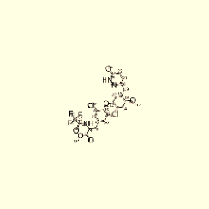 COC(=O)[C@H](Cc1cc(Cl)c(Oc2ccc(OC)c(Cc3ccc(=O)[nH]n3)c2)c(Cl)c1)NC(=O)C(F)(F)F